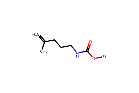 C=C(C)CCCNC(=O)OCC